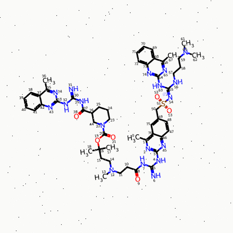 Cc1nc(NC(=N)NC(=O)CCN(C)CCC(C)(C)OC(=O)N2CCCC(C(=O)NC(=N)Nc3nc(C)c4ccccc4n3)C2)nc2ccc(CS(=O)(=O)/N=C(/NCCCN(C)C)Nc3nc(C)c4ccccc4n3)cc12